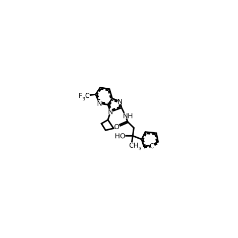 CC(O)(CC(=O)Nc1nc2ccc(C(F)(F)F)nc2n1C1CCC1)c1ccccc1